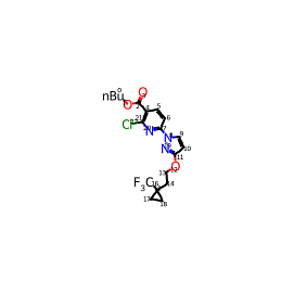 CCCCOC(=O)c1ccc(-n2ccc(OCCC3(C(F)(F)F)CC3)n2)nc1Cl